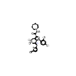 O=C(NN1CCCCCC1)c1nn(-c2ccc(Cl)cc2Cl)c2c1CS(=O)(=O)C/C2=C\c1ccc(Cl)o1